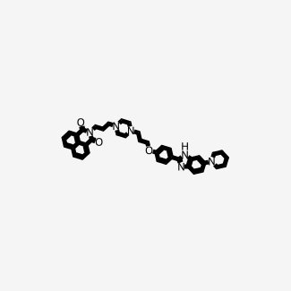 O=C1c2cccc3cccc(c23)C(=O)N1CCCN1CCN(CCCOc2ccc(-c3nc4ccc(N5CCCCC5)cc4[nH]3)cc2)CC1